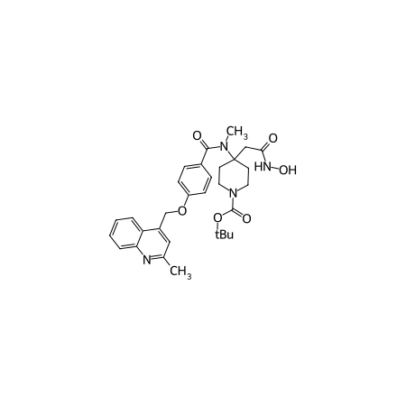 Cc1cc(COc2ccc(C(=O)N(C)C3(CC(=O)NO)CCN(C(=O)OC(C)(C)C)CC3)cc2)c2ccccc2n1